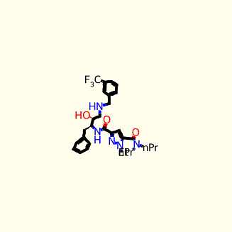 CCCN(CCC)C(=O)c1cc(C(=O)N[C@@H](Cc2ccccc2)[C@H](O)CNCc2cccc(C(F)(F)F)c2)nn1CC